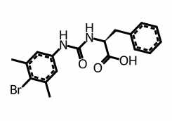 Cc1cc(NC(=O)N[C@@H](Cc2ccccc2)C(=O)O)cc(C)c1Br